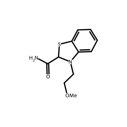 COCCN1c2ccccc2SC1C(N)=O